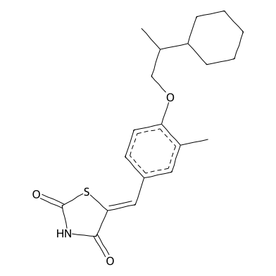 Cc1cc(/C=C2\SC(=O)NC2=O)ccc1OCC(C)C1CCCCC1